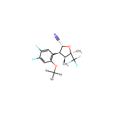 [2H]C([2H])([2H])Oc1cc(F)c(F)cc1[C@H]1[C@H](C#N)O[C@@](C)(C(F)(F)F)[C@H]1C